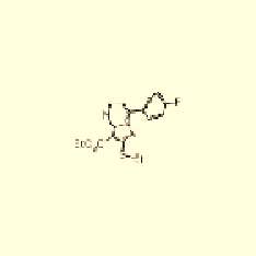 CCOC(=O)c1c(SCC)nn2c(-c3ccc(F)cc3)ccnc12